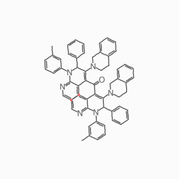 Cc1cccc(N2c3ncccc3C(C(=O)C3=C(N4CCc5ccccc5C4)C(c4ccccc4)N(c4cccc(C)c4)c4ncccc43)=C(N3CCc4ccccc4C3)C2c2ccccc2)c1